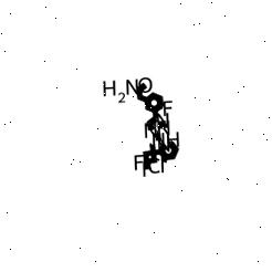 NC(=O)Cc1ccc(F)c(-c2cnc(NCC3(c4ncccc4Cl)CC(F)(F)C3)nn2)c1